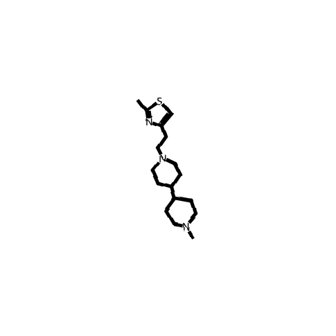 Cc1nc(CCN2CCC(C3CCN(C)CC3)CC2)cs1